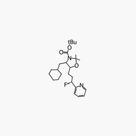 CC(C)(C)OC(=O)N1C(CC2CCCCC2)C(CC[C@H](F)c2ccccn2)OC1(C)C